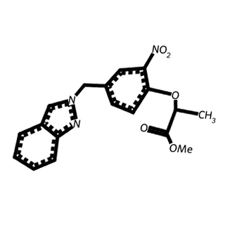 COC(=O)C(C)Oc1ccc(Cn2cc3ccccc3n2)cc1[N+](=O)[O-]